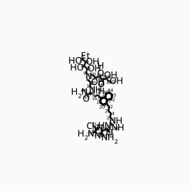 CCC(O)C(O)C(O)C(O)CN(CCCN[C@H](CCc1ccc(CCCCNC(=N)NC(=O)c2nc(Cl)c(N)nc2N)c2ccccc12)C(N)=O)CC(O)C(O)C(O)C(O)CO